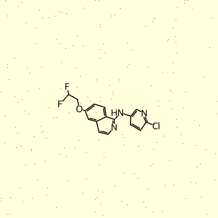 FC(F)COc1ccc2c(Nc3ccc(Cl)nc3)nccc2c1